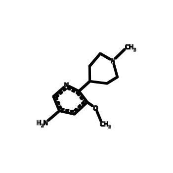 COc1cc(N)cnc1C1CCN(C)CC1